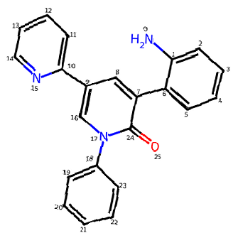 Nc1ccccc1-c1cc(-c2ccccn2)cn(-c2ccccc2)c1=O